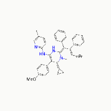 CCC/C=C(/C(=C1/NC(Nc2ccc(C)cn2)=C(c2ccc(OC)cc2)C(=C2CC2)N1C)c1ccccc1)c1ccccc1